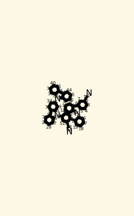 N#Cc1ccc2c(c1)c1ccccc1n2-c1ccccc1-c1ccc(-n2c3ccccc3c3ccc(-n4c5ccccc5c5ccccc54)cc32)cc1C#N